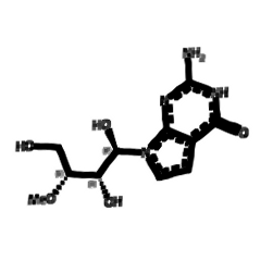 CO[C@H](CO)[C@@H](O)[C@@H](O)n1ccc2c(=O)[nH]c(N)nc21